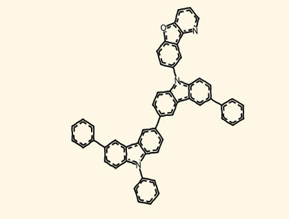 c1ccc(-c2ccc3c(c2)c2cc(-c4ccc5c(c4)c4cc(-c6ccccc6)ccc4n5-c4ccc5oc6cccnc6c5c4)ccc2n3-c2ccccc2)cc1